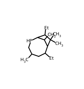 CCC1CC(C)CPC2C(C)C1C(C)(C)C2CC